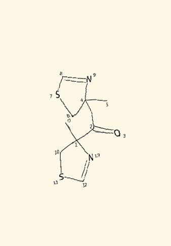 CC1(C(=O)C2(C)CSC=N2)CSC=N1